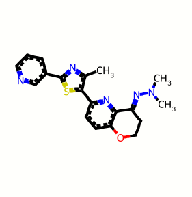 Cc1nc(-c2cccnc2)sc1-c1ccc2c(n1)/C(=N/N(C)C)CCO2